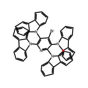 Brc1c(-n2c3ccccc3c3ccccc32)c(-n2c3ccccc3c3ccccc32)nc(-n2c3ccccc3c3ccccc32)c1-n1c2ccccc2c2ccccc21